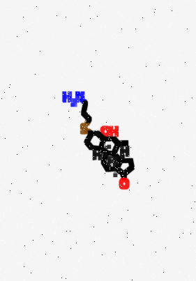 C=C1CC2(O)CC(SCCCN)CC[C@]2(C)[C@@H]2CC[C@]3(C)C(=O)CC[C@H]3[C@H]12